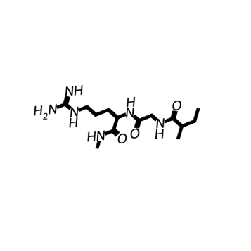 CCC(C)C(=O)NCC(=O)NC(CCCNC(=N)N)C(=O)NC